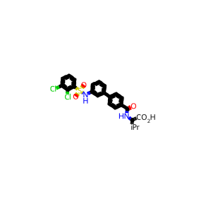 CC(C)C(NC(=O)c1ccc(-c2cccc(NS(=O)(=O)c3cccc(Cl)c3Cl)c2)cc1)C(=O)O